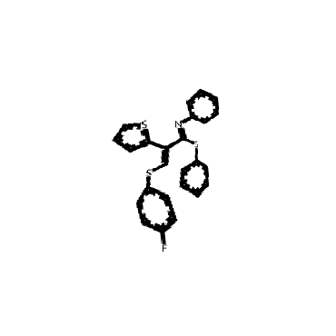 Fc1ccc(S/C=C(/C(=N/c2ccccc2)Sc2ccccc2)c2cccs2)cc1